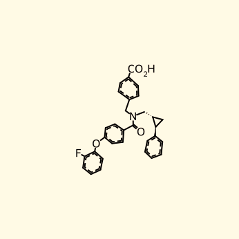 O=C(O)c1ccc(CN(C[C@@H]2C[C@H]2c2ccccc2)C(=O)c2ccc(Oc3ccccc3F)cc2)cc1